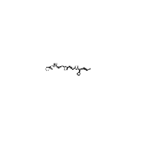 C/C=C/C(=O)OCCOCCN=C=O